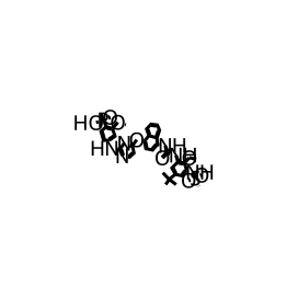 COc1cc(Nc2nccc(Oc3ccc(NC(=O)Nc4cc(C(C)(C)C)cc(NS(C)(=O)=O)c4OC)c4ccccc34)n2)ccc1P(C)(=O)O